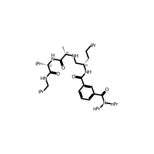 CCCN(CCC)C(=O)c1cccc(C(=O)N[C@@H](CCC(C)C)CN[C@@H](C)C(=O)N[C@H](C(=O)NCC(C)C)C(C)C)c1